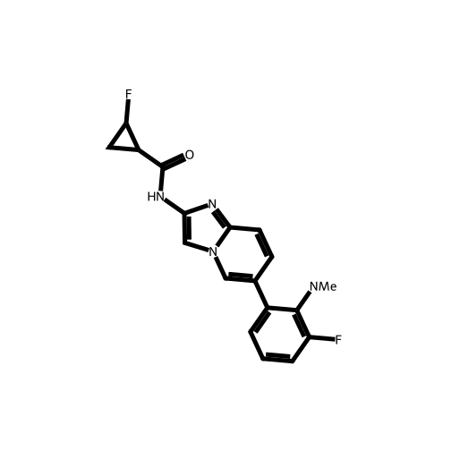 CNc1c(F)cccc1-c1ccc2nc(NC(=O)C3CC3F)cn2c1